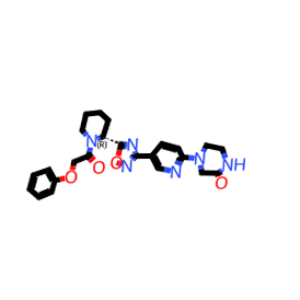 O=C1CN(c2ccc(-c3noc([C@H]4CCCCN4C(=O)COc4ccccc4)n3)cn2)CCN1